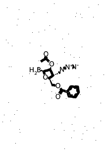 B[C@@H]1O[C@H](COC(=O)c2ccccc2)[C@@H](CN=[N+]=[N-])[C@H]1OC(C)=O